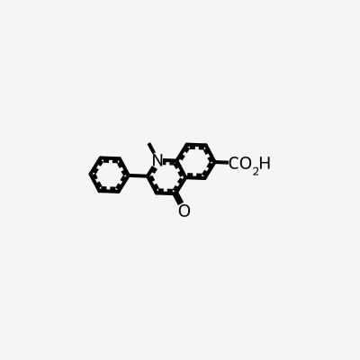 Cn1c(-c2ccccc2)cc(=O)c2cc(C(=O)O)ccc21